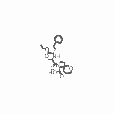 CCOC(=O)[C@H](CCc1ccccc1)NC(C)C(=O)N1CCC2(CCCOC2)[C@H]1C(=O)O